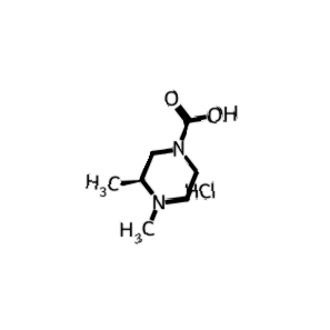 C[C@H]1CN(C(=O)O)CCN1C.Cl